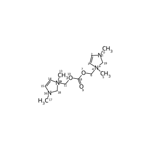 CN1C=C[N+](C)(COC(=O)OC[N+]2(C)C=CN(C)C2)C1